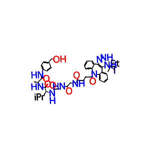 CCC(C)(I)NC1=C(N=N)c2ccccc2N(C(=O)CCC(=O)NCC(=O)NCC(=O)N[C@H](C(=O)N[C@@H](C)C(=O)Nc2ccc(CO)cc2)C(C)C)c2ccccc21